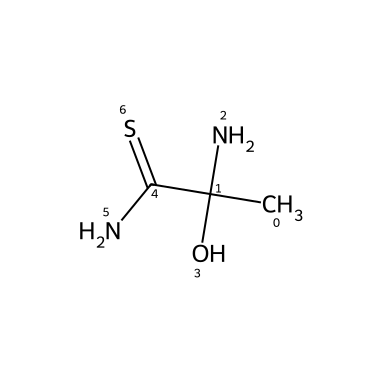 CC(N)(O)C(N)=S